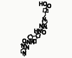 Cc1c(NC(=O)c2nc3c(n2C)CCN(CCC24CCC(C(=O)O)(CC2)C4)C3)cccc1-c1cccc(NC(=O)c2nc3c(n2C)CCN(C)C3)c1Cl